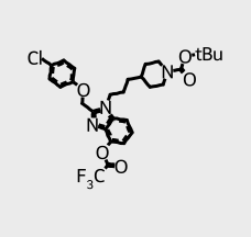 CC(C)(C)OC(=O)N1CCC(CCCn2c(COc3ccc(Cl)cc3)nc3c(OC(=O)C(F)(F)F)cccc32)CC1